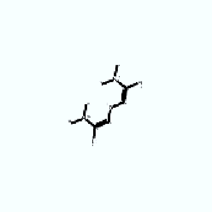 CCC(=COC=C(CC)N(C)C)N(C)C